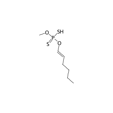 CCCCC=COP(=S)(S)OC